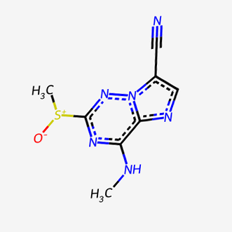 CNc1nc([S+](C)[O-])nn2c(C#N)cnc12